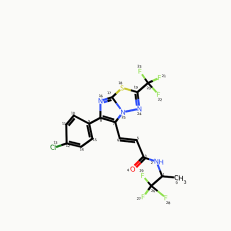 CC(NC(=O)/C=C/c1c(-c2ccc(Cl)cc2)nc2sc(C(F)(F)F)nn12)C(F)(F)F